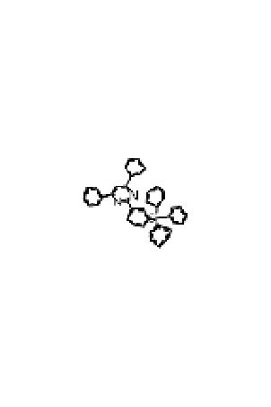 c1ccc(-c2cc(-c3ccccc3)nc(-c3cccc([Si](c4ccccc4)(c4ccccc4)c4ccccc4)c3)n2)cc1